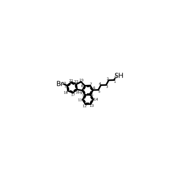 SCCCCCc1cc2c(c3ccccc13)-c1ccc(Br)cc1C2